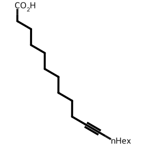 CCCCCCC#CCCCCCCCCCC(=O)O